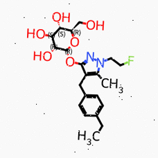 CCc1ccc(Cc2c(O[C@H]3O[C@H](CO)[C@@H](O)[C@H](O)[C@H]3O)nn(CCF)c2C)cc1